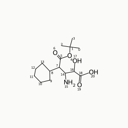 CC(C)(C)OC(=O)C(C1CCCCC1)C(N)C(O)C(=O)O